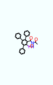 CC(=O)NC(=O)c1c(I=O)c(-c2ccccc2)cc(-c2ccccc2)c1-c1ccccc1